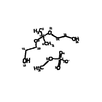 COS(=O)(=O)[O-].C[N+](C)(OCCO)OCCO